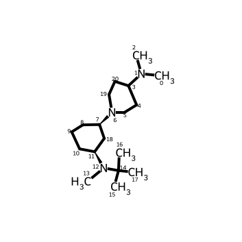 CN(C)C1CCN([C@@H]2CCC[C@H](N(C)C(C)(C)C)C2)CC1